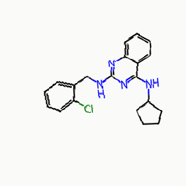 Clc1ccccc1CNc1nc(NC2CCCC2)c2ccccc2n1